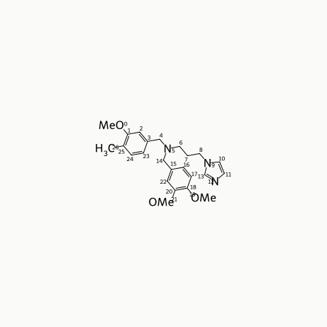 COc1cc(CN(CCCn2ccnc2)Cc2ccc(OC)c(OC)c2)ccc1C